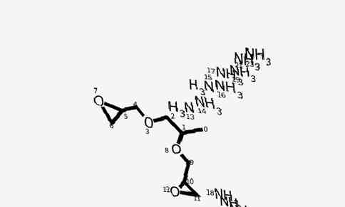 CC(COCC1CO1)OCC1CO1.N.N.N.N.N.N.N.N.N.N.N